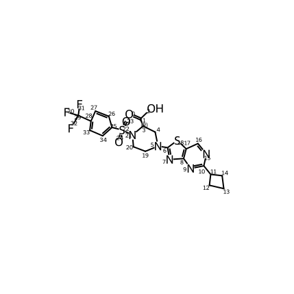 O=C(O)[C@H]1CN(c2nc3nc(C4CCC4)ncc3s2)CCN1S(=O)(=O)c1ccc(C(F)(F)F)cc1